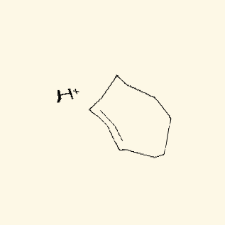 C1=CCCC1.[H+]